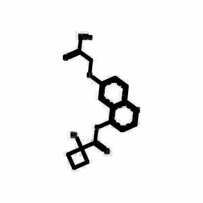 CCC1(C(=O)Sc2ccnc3ccc(OCC(=O)NC)cc23)CCC1